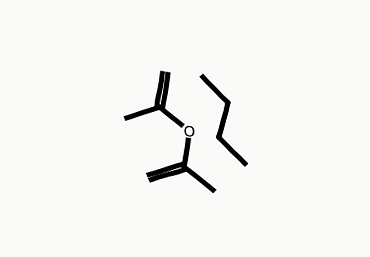 C=C(C)OC(=C)C.CCCC